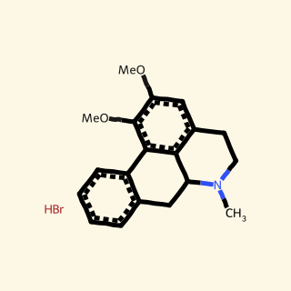 Br.COc1cc2c3c(c1OC)-c1ccccc1CC3N(C)CC2